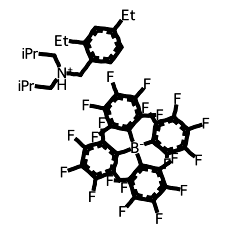 CCc1ccc(C[NH+](CC(C)C)CC(C)C)c(CC)c1.Fc1c(F)c(F)c([B-](c2c(F)c(F)c(F)c(F)c2F)(c2c(F)c(F)c(F)c(F)c2F)c2c(F)c(F)c(F)c(F)c2F)c(F)c1F